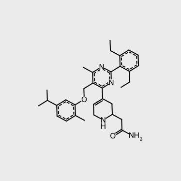 CCc1cccc(CC)c1-c1nc(C)c(COc2cc(C(C)C)ccc2C)c(C2=CCNC(CC(N)=O)C2)n1